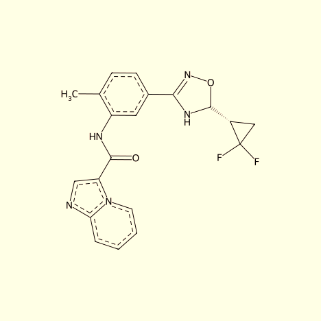 Cc1ccc(C2=NOC([C@@H]3CC3(F)F)N2)cc1NC(=O)c1cnc2ccccn12